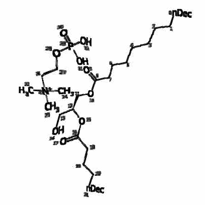 CCCCCCCCCCCCCCCCCC(=O)OC[C@H](CO)OC(=O)CCCCCCCCCCCCC.C[N+](C)(C)CCOP(=O)(O)O